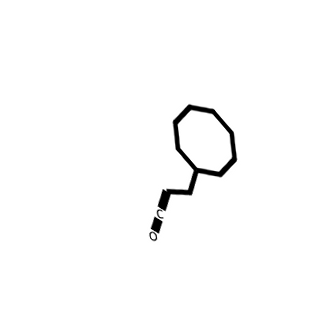 O=C=CCC1CCCCCCC1